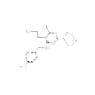 COc1ccc(CNc2nc(N3CCOCC3)nc(Cl)c2CCCl)cc1